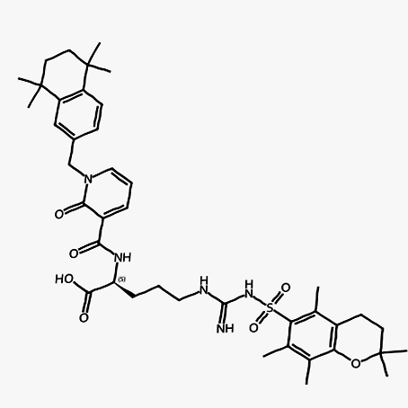 Cc1c(C)c(S(=O)(=O)NC(=N)NCCC[C@H](NC(=O)c2cccn(Cc3ccc4c(c3)C(C)(C)CCC4(C)C)c2=O)C(=O)O)c(C)c2c1OC(C)(C)CC2